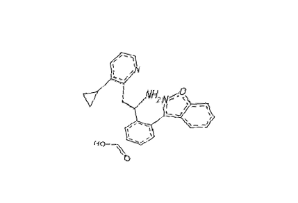 NC(Cc1ncccc1C1CC1)c1ccccc1-c1noc2ccccc12.O=CO